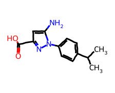 CC(C)c1ccc(-n2nc(C(=O)O)cc2N)cc1